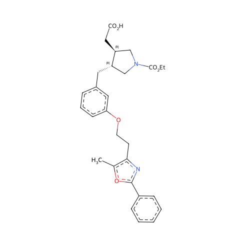 CCOC(=O)N1C[C@H](CC(=O)O)[C@@H](Cc2cccc(OCCc3nc(-c4ccccc4)oc3C)c2)C1